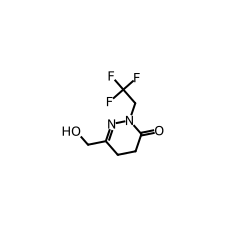 O=C1CCC(CO)=NN1CC(F)(F)F